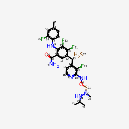 Cc1ccc(Nc2c(C(N)=O)cc(Cc3ccnc(NOSN(C)NC(C)C)c3F)c(F)c2F)c(F)c1.S